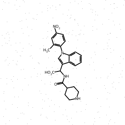 Cc1cc([N+](=O)[O-])ccc1-n1cc(C(NC(=O)C2CCNCC2)C(=O)O)c2ccccc21